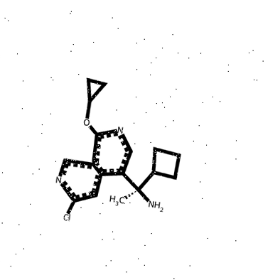 C[C@](N)(c1cnc(OC2CC2)c2cnc(Cl)cc12)C1CCC1